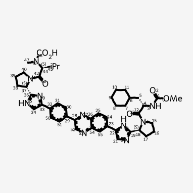 COC(=O)N[C@@H](CC1CCCCC1)C(=O)N1CCC[C@H]1c1ncc(-c2ccc3nc(-c4ccc(-c5c[nH]c([C@@H]6CCCN6C(=O)[C@H](C(C)C)N(C)C(=O)O)n5)cc4)cnc3c2)[nH]1